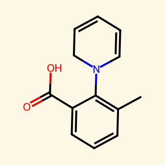 Cc1cccc(C(=O)O)c1N1C=CC=CC1